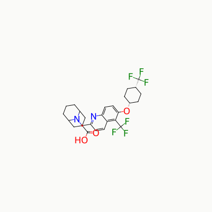 O=C(O)C1CC2CCCC(C1)N2Cc1ccc2c(C(F)(F)F)c(O[C@H]3CC[C@@H](C(F)(F)F)CC3)ccc2n1